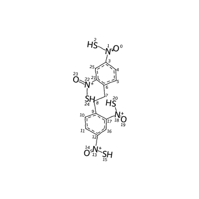 O=[N+](S)c1ccc(CCc2ccc([N+](=O)S)cc2[N+](=O)S)c([N+](=O)S)c1